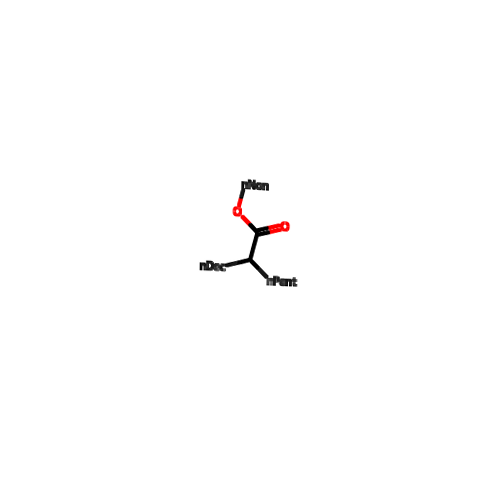 CCCCCCCCCCC(CCCCC)C(=O)OCCCCCCCCC